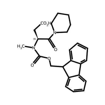 CN(C(=O)OCC1c2ccccc2-c2ccccc21)[C@@H](CC(=O)O)C(=O)N1CCCCC1